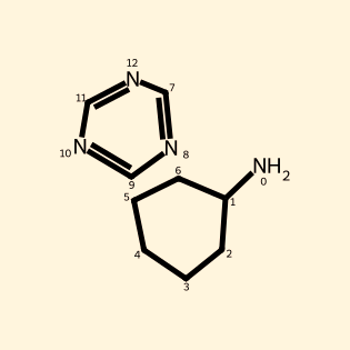 NC1CCCCC1.c1ncncn1